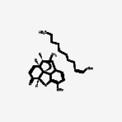 CCCCCCCC/C=C\CCCCCCCC(=O)O.COC1=C2O[C@H]3C(=O)C=C[C@H]4[C@H]5CC(C=C1)C2[C@@]34CCN5C